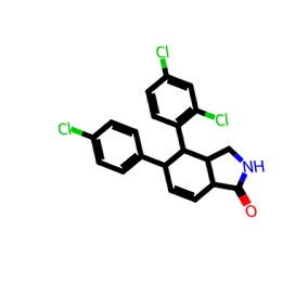 O=C1NCC2C1C=CC(c1ccc(Cl)cc1)C2c1ccc(Cl)cc1Cl